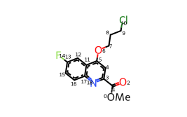 COC(=O)c1cc(OCCCCl)c2cc(F)ccc2n1